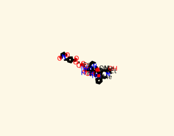 CC[C@]1(O)C[C@@H]2CN(CCc3c([nH]c4ccccc34)[C@@](C(=O)OC)(c3cc4c(cc3OC)N(C)[C@H]3[C@@](O)(C(=O)NNC(=O)OCOC(=O)C5CCC(CN6C(=O)C=CC6=O)CC5)[C@H](O)[C@]5(CC)C=CCN6CC[C@]43[C@@H]65)C2)C1